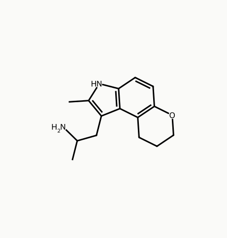 Cc1[nH]c2ccc3c(c2c1CC(C)N)CCCO3